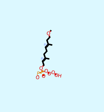 COCC/C(C)=C/CC/C(C)=C/COP(=O)(OOOO)P=O